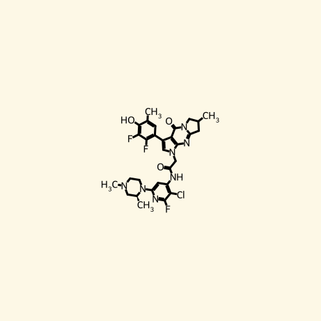 Cc1cc(-c2cn(CC(=O)Nc3cc(N4CCN(C)C[C@@H]4C)nc(F)c3Cl)c3nc4n(c(=O)c23)CC(C)C4)c(F)c(F)c1O